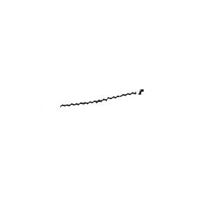 CCCCCCCCCCCC(=O)OCCCCCCCCCCCCCCCCCCCCCCCCCCCCCCCCCC(=O)O